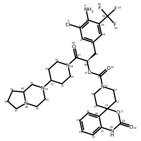 Nc1c(Cl)cc(C[C@@H](OC(=O)N2CCC3(CC2)OC(=O)Nc2ccccc23)C(=O)N2CCC(N3CCN4CCCC4C3)CC2)cc1C(F)(F)F